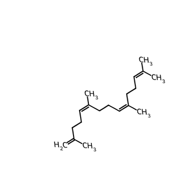 C=C(C)CCC=C(C)CCC=C(C)CCC=C(C)C